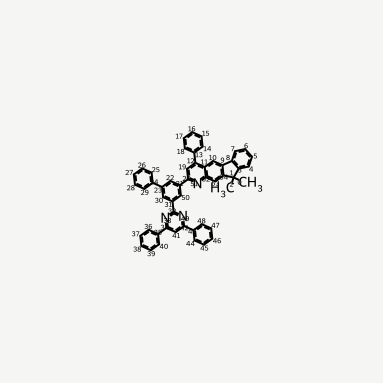 CC1(C)c2ccccc2-c2cc3c(-c4ccccc4)cc(-c4cc(-c5ccccc5)cc(-c5nc(-c6ccccc6)cc(-c6ccccc6)n5)c4)nc3cc21